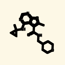 Cc1oc2ncnc(NC3(C)CC3)c2c1C(=O)NCC1CCOCC1